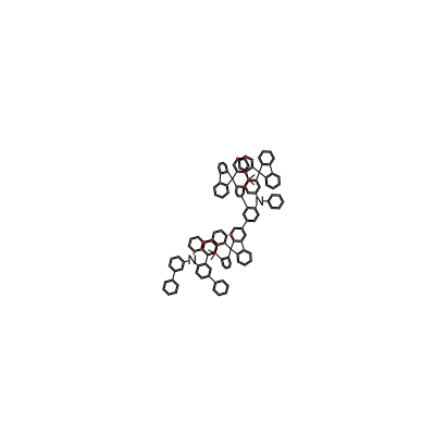 CC1(C)c2ccccc2C2(c3ccccc3-c3ccccc32)c2ccc(-c3cc(-c4ccc5c(c4)-c4ccccc4C54c5ccccc5C(C)(C)c5c(-c6cccc(N(c7cccc(-c8ccccc8)c7)c7ccc(-c8ccccc8)cc7-c7ccccc7)c6)cccc54)ccc3N(c3ccccc3)c3ccc4c(c3)C3(c5ccccc5-c5ccccc53)c3ccccc3-4)cc21